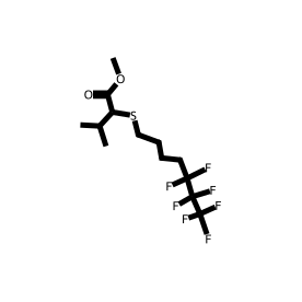 COC(=O)C(SCCCCC(F)(F)C(F)(F)C(F)(F)F)C(C)C